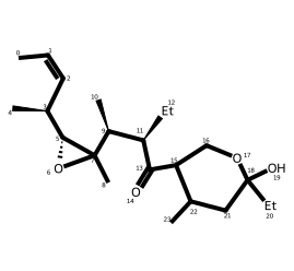 C/C=C\[C@H](C)[C@H]1OC1(C)[C@@H](C)[C@@H](CC)C(=O)C1COC(O)(CC)CC1C